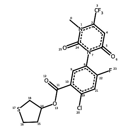 Cn1c(C(F)(F)F)cc(=O)n(-c2cc(C(=O)OC3CCSC3)c(Cl)cc2F)c1=O